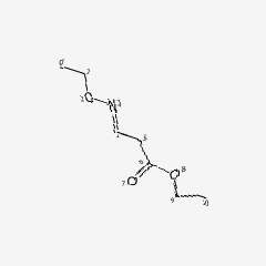 CCON=CCC(=O)OCC